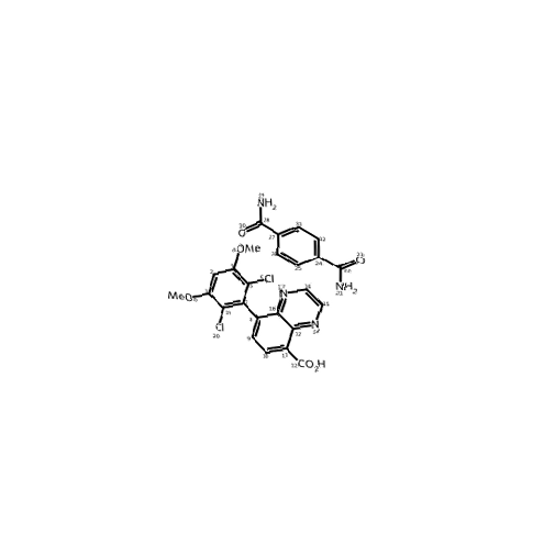 COc1cc(OC)c(Cl)c(-c2ccc(C(=O)O)c3nccnc23)c1Cl.NC(=O)c1ccc(C(N)=O)cc1